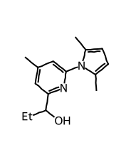 CCC(O)c1cc(C)cc(-n2c(C)ccc2C)n1